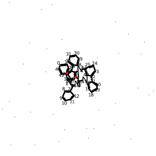 c1ccc(-c2nc(-c3ccccc3)nc(-n3c4ccccc4c4cccc(-n5c6ccccc6c6ccccc65)c43)n2)cc1